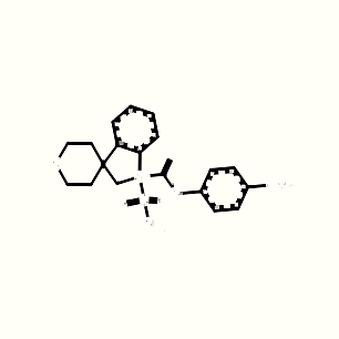 COc1ccc(NC(=O)[N+]2(S(N)(=O)=O)CC3(CCNCC3)c3ccccc32)cc1